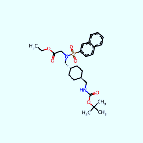 CCOC(=O)CN(C[C@H]1CC[C@H](CNC(=O)OC(C)(C)C)CC1)S(=O)(=O)c1ccc2ccccc2c1